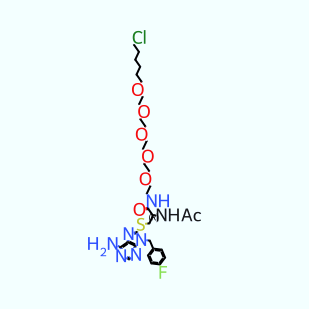 CC(=O)N[C@@H](CSc1nc2c(N)ncnc2n1Cc1ccc(F)cc1)C(=O)NCCOCCOCCOCCOCCOCCCCCCCl